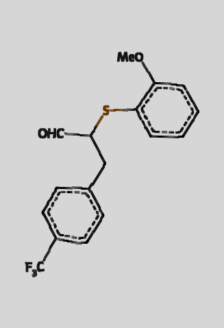 COc1ccccc1SC(C=O)Cc1ccc(C(F)(F)F)cc1